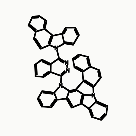 c1ccc2c(c1)ccc1c2c2ccccc2n1-c1nnc(-n2c3ccccc3c3cc4c5ccccc5n5c6ccc7ccccc7c6c(c32)c45)c2ccccc12